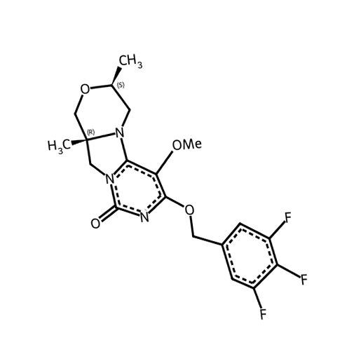 COc1c(OCc2cc(F)c(F)c(F)c2)nc(=O)n2c1N1C[C@H](C)OC[C@@]1(C)C2